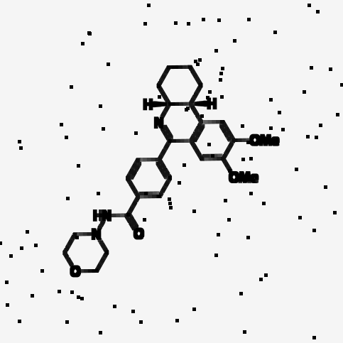 COc1cc2c(cc1OC)[C@H]1CCCC[C@H]1N=C2c1ccc(C(=O)NN2CCOCC2)cc1